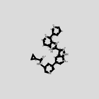 O=C(Nc1cncc(-c2cnc3[nH]nc(-c4nc5c(-c6cccnc6)nccc5[nH]4)c3c2)c1)C1CC1